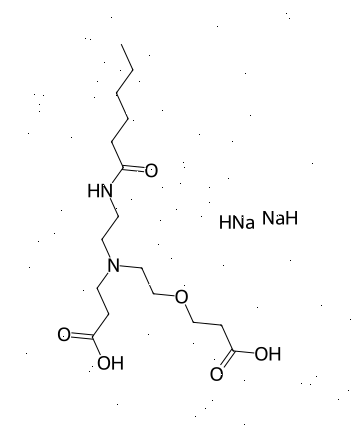 CCCCCC(=O)NCCN(CCOCCC(=O)O)CCC(=O)O.[NaH].[NaH]